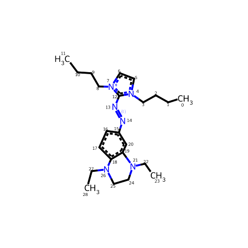 CCCCn1cc[n+](CCCC)c1/N=N/c1ccc2c(c1)N(CC)CCN2CC